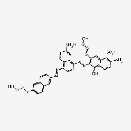 Nc1ccc2c(O)c(/N=N/c3ccc(/N=N/c4ccc5cc(SOOO)ccc5c4)c4ccc(S(=O)(=O)O)cc34)c(SOOO)cc2c1S(=O)(=O)O